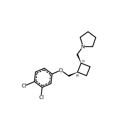 Clc1ccc(OC[C@@H]2CC[C@@H]2CN2CCCC2)cc1Cl